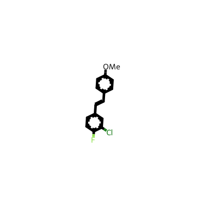 COc1ccc(C=Cc2ccc(F)c(Cl)c2)cc1